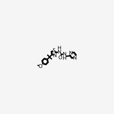 COc1ccc(C(C)(C)c2csc(NC(=O)NCc3cnccn3)n2)cc1